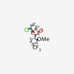 COc1cc(C(F)(F)F)ccc1-c1cc(=O)c2cccc(Cl)c2o1